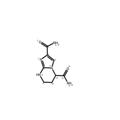 NC(=O)c1cn2c(n1)NCCC2C(N)=O